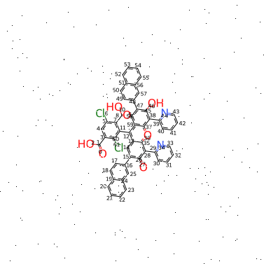 O=C(O)c1cc(Cl)c(C(=O)O)c(-c2c3cc(-c4ccc5ccccc5c4)c(=O)c(-c4ccccn4)c-3oc3c(-c4ccccn4)c(O)c(-c4ccc5ccccc5c4)cc23)c1Cl